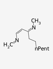 C=N/C=C\C(CCCCCCC)=N/C